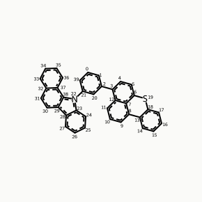 c1cc(-c2ccc3c4c(cccc24)-c2ccccc2S3)cc(-n2c3ccccc3c3ccc4ccccc4c32)c1